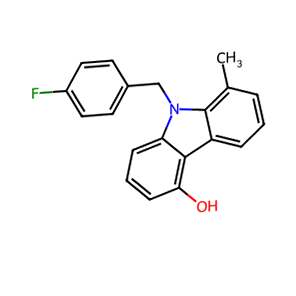 Cc1cccc2c3c(O)cccc3n(Cc3ccc(F)cc3)c12